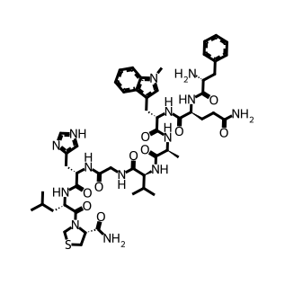 CC(C)C[C@H](NC(=O)[C@H](Cc1c[nH]cn1)NC(=O)CNC(=O)[C@@H](NC(=O)[C@H](C)NC(=O)[C@H](Cc1cn(C)c2ccccc12)NC(=O)[C@H](CCC(N)=O)NC(=O)[C@H](N)Cc1ccccc1)C(C)C)C(=O)N1CSC[C@H]1C(N)=O